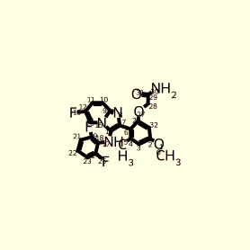 COc1cc(C)c(-c2nc3ccc(F)cn3c2Nc2c(F)cccc2F)c(OCC(N)=O)c1